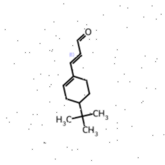 CC(C)(C)C1CC=C(/C=C/C=O)CC1